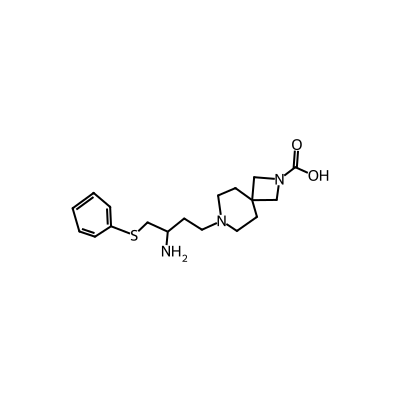 NC(CCN1CCC2(CC1)CN(C(=O)O)C2)CSc1ccccc1